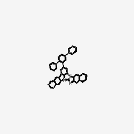 c1ccc(-c2ccc(-c3ccccc3)c(-c3cc4c5cc6ccccc6cc5n5c4c(c3)n3c4cc6ccccc6cc4nc35)c2)cc1